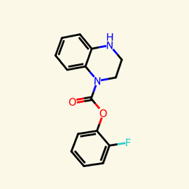 O=C(Oc1ccccc1F)N1CCNc2ccccc21